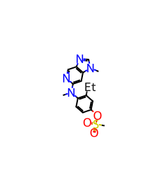 CCc1cc(OS(C)(=O)=O)ccc1N(C)c1cc2c(cn1)ncn2C